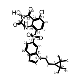 CC1(C)C(CCn2ccc3ccc(S(=O)(=O)c4ccc(Cl)c5c(=O)n(O)c(=O)[nH]c45)cc32)C1(C)C